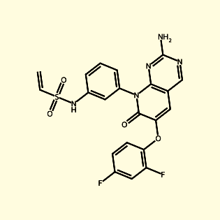 C=CS(=O)(=O)Nc1cccc(-n2c(=O)c(Oc3ccc(F)cc3F)cc3cnc(N)nc32)c1